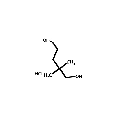 CC(C)(CO)CCC=O.Cl